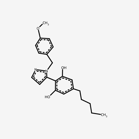 CCCCCc1cc(O)c(-c2ccnn2Cc2ccc(OC)cc2)c(O)c1